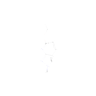 CCOc1ccc2cn(C)nc2n1